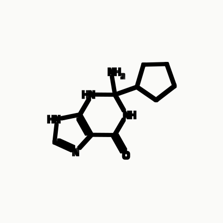 NC1(C2CCCC2)NC(=O)c2nc[nH]c2N1